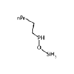 CCCCCPO[SiH3]